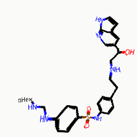 CCCCCCNCNc1ccc(S(=O)(=O)Nc2ccc(CCNCC(O)c3cnc4[nH]ccc4c3)cc2)cc1